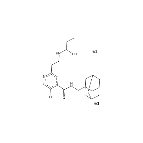 CCC(O)NCCc1cc(C(=O)NCC23CC4CC(CC(C4)C2)C3)c(Cl)cn1.Cl.Cl